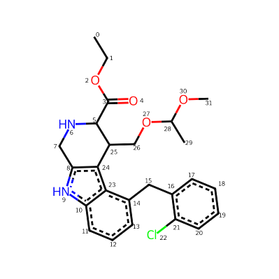 CCOC(=O)C1NCc2[nH]c3cccc(Cc4ccccc4Cl)c3c2C1COC(C)OC